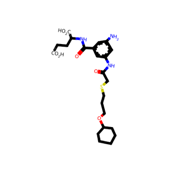 Nc1cc(NC(=O)CSCCCOC2CCCCC2)cc(C(=O)NC(CCC(=O)O)C(=O)O)c1